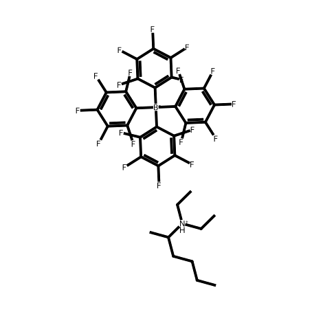 CCCCC(C)[NH+](CC)CC.Fc1c(F)c(F)c([B-](c2c(F)c(F)c(F)c(F)c2F)(c2c(F)c(F)c(F)c(F)c2F)c2c(F)c(F)c(F)c(F)c2F)c(F)c1F